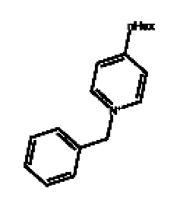 CCCCCCc1cc[n+](Cc2ccccc2)cc1